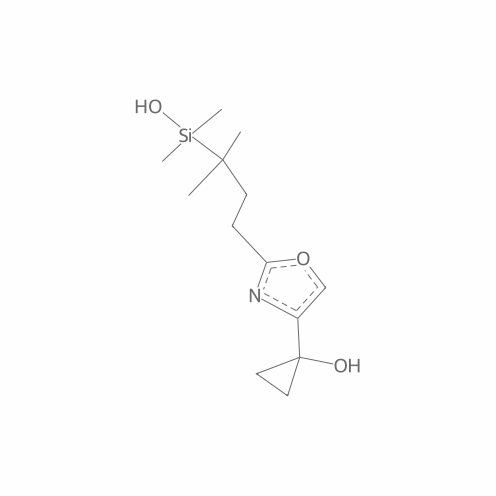 CC(C)(CCc1nc(C2(O)CC2)co1)[Si](C)(C)O